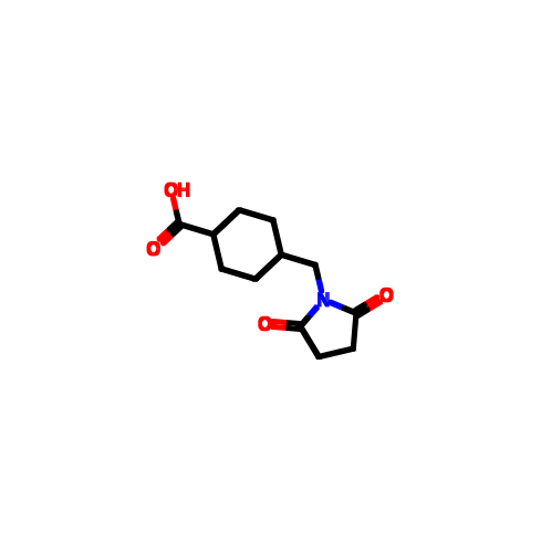 O=C(O)C1CCC(CN2C(=O)CCC2=O)CC1